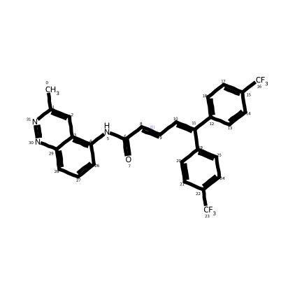 Cc1cc2c(NC(=O)/C=C/C=C(c3ccc(C(F)(F)F)cc3)c3ccc(C(F)(F)F)cc3)cccc2nn1